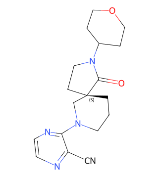 N#Cc1nccnc1N1CCC[C@]2(CCN(C3CCOCC3)C2=O)C1